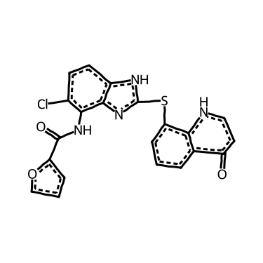 O=C(Nc1c(Cl)ccc2[nH]c(Sc3cccc4c(=O)cc[nH]c34)nc12)c1ccco1